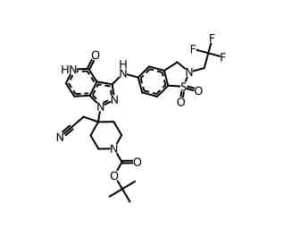 CC(C)(C)OC(=O)N1CCC(CC#N)(n2nc(Nc3ccc4c(c3)CN(CC(F)(F)F)S4(=O)=O)c3c(=O)[nH]ccc32)CC1